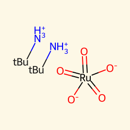 CC(C)(C)[NH3+].CC(C)(C)[NH3+].[O]=[Ru](=[O])(=[O])([O-])[O-]